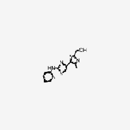 Cc1nc(CO)sc1-c1csc(Nc2ccccn2)n1